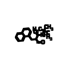 CC(C)(C)NC(=O)C([C]=O)Cc1cccc2ccccc12